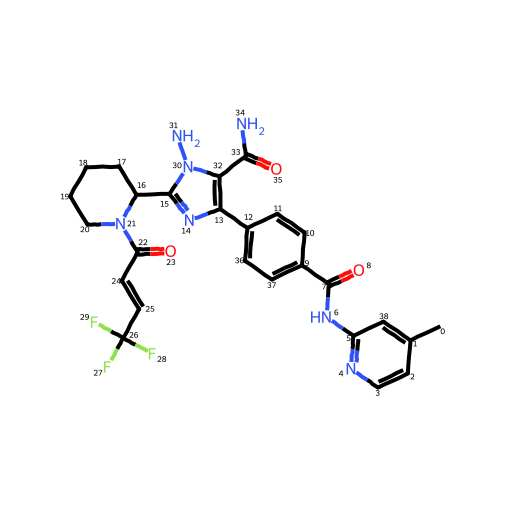 Cc1ccnc(NC(=O)c2ccc(-c3nc(C4CCCCN4C(=O)C=CC(F)(F)F)n(N)c3C(N)=O)cc2)c1